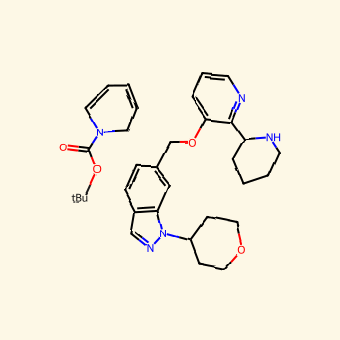 CC(C)(C)OC(=O)N1C=CC=CC1.c1cnc(C2CCCCN2)c(OCc2ccc3cnn(C4CCOCC4)c3c2)c1